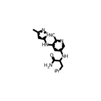 Cc1cc(Nc2cc(NC(CC(C)C)C(N)=O)cnc2C#N)sn1